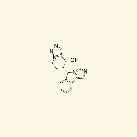 O[C@H]1c2cnnn2CC[C@H]1C1c2ccccc2-c2cncn21